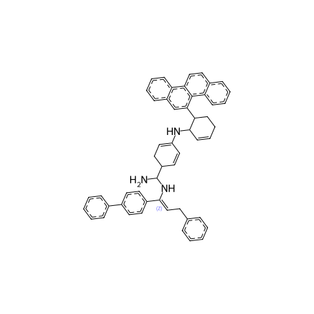 NC(N/C(=C\Cc1ccccc1)c1ccc(-c2ccccc2)cc1)C1C=CC(NC2C=CCCC2c2cc3ccccc3c3ccc4ccccc4c23)=CC1